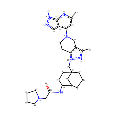 Cc1cc(N2CCc3c(c(C)nn3CC34CCCC(C3)C(NC(=O)CN3CCCC3)CC4)C2)c2cnn(C)c2n1